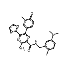 CN(C)c1ccc(F)c(CNC(=O)c2nc(-c3ccc(=O)n(C)c3)c(-c3ncco3)nc2N)c1